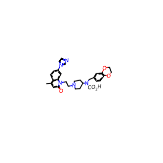 Cc1cc(=O)n(CCN2CCC(N(Cc3ccc4c(c3)OCCO4)C(=O)O)CC2)c2cc(-n3ccnc3)ccc12